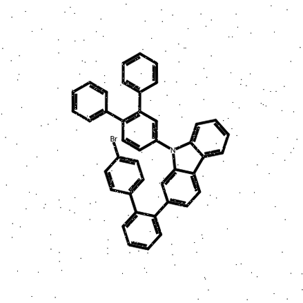 Brc1ccc(-c2ccccc2-c2ccc3c4ccccc4n(-c4ccc(-c5ccccc5)c(-c5ccccc5)c4)c3c2)cc1